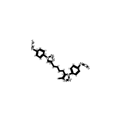 Cc1nnn(-c2ccc(N=C=S)cc2)c1CCCCc1cn(-c2ccc(N=C=S)cc2)nn1